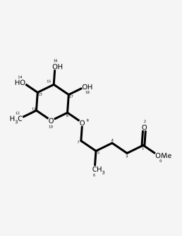 COC(=O)CCC(C)COC1OC(C)C(O)C(O)C1O